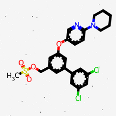 CS(=O)(=O)OCc1cc(Oc2ccc(N3CCCCC3)nc2)cc(-c2cc(Cl)cc(Cl)c2)c1